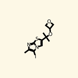 Cc1nc2sc(C(C)(C)OC3COC3)cn2c1I